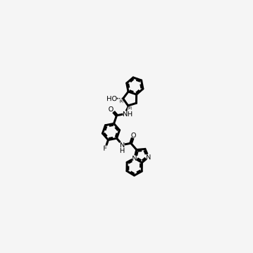 O=C(N[C@@H]1Cc2ccccc2[C@H]1O)c1ccc(F)c(NC(=O)c2cnc3ccccn23)c1